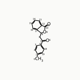 Cc1ccc(C(=O)CC2OC(=O)c3ccccc32)cc1